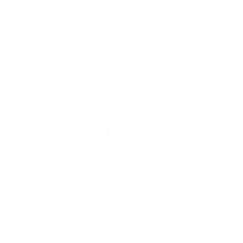 COC(=O)c1c(Cl)cc(C)[n+]([O-])c1Oc1c(C)cc(C)cc1C